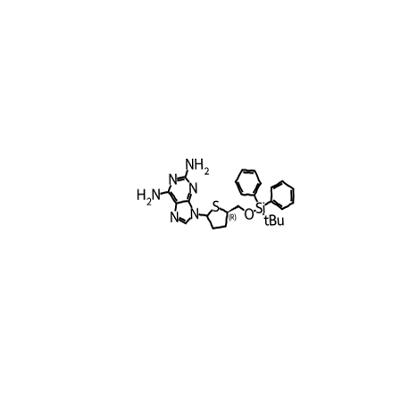 CC(C)(C)[Si](OC[C@H]1CCC(n2cnc3c(N)nc(N)nc32)S1)(c1ccccc1)c1ccccc1